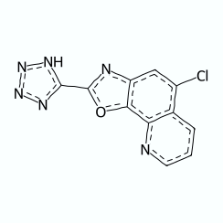 Clc1cc2nc(-c3nnn[nH]3)oc2c2ncccc12